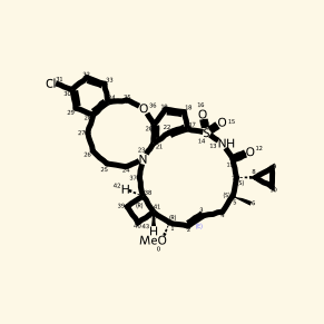 CO[C@H]1/C=C/C[C@H](C)[C@@H](C2CC2)C(=O)NS(=O)(=O)c2ccc3c(c2)N(CCCCc2cc(Cl)ccc2CO3)C[C@@H]2CC[C@H]21